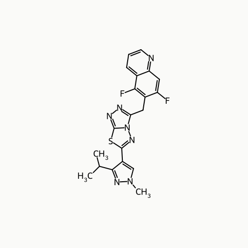 CC(C)c1nn(C)cc1-c1nn2c(Cc3c(F)cc4ncccc4c3F)nnc2s1